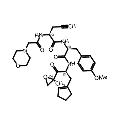 C#CC[C@H](NC(=O)CN1CCOCC1)C(=O)N[C@@H](Cc1ccc(OC)cc1)C(=O)N[C@@H](CC1=CCCC1)C(=O)[C@]1(C)CO1